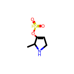 CC1NCC=C1O[SH](=O)=O